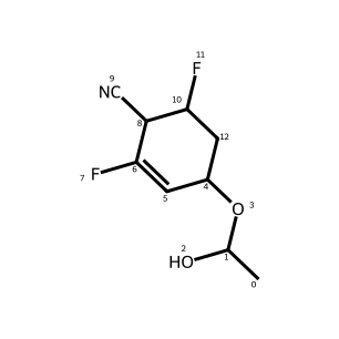 CC(O)OC1C=C(F)C(C#N)C(F)C1